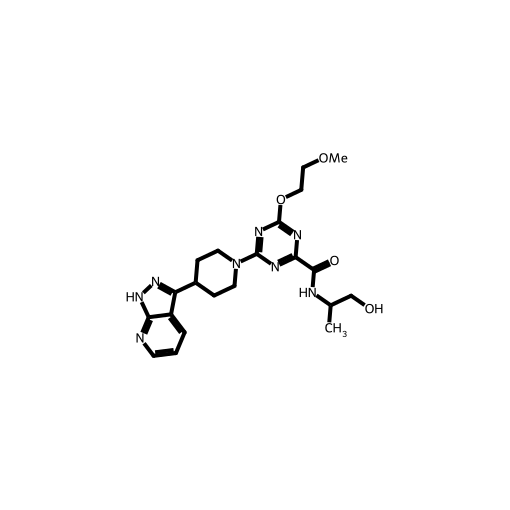 COCCOc1nc(C(=O)NC(C)CO)nc(N2CCC(c3n[nH]c4ncccc34)CC2)n1